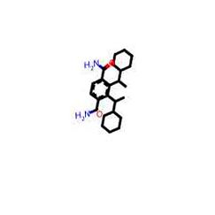 CC(c1c(C(N)=O)ccc(C(N)=O)c1C(C)C1CCCCC1)C1CCCCC1